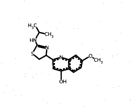 COc1ccc2c(O)cc(C3CSC(NC(C)C)=N3)nc2c1